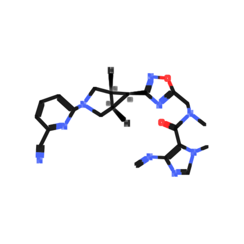 C=Nc1ncn(C)c1C(=O)N(C)Cc1nc([C@H]2[C@@H]3CN(c4cccc(C#N)n4)C[C@@H]32)no1